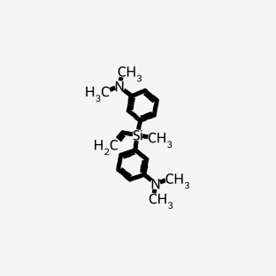 C=C[Si](C)(c1cccc(N(C)C)c1)c1cccc(N(C)C)c1